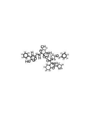 CCCC(NC(=O)[C@@H]1C[C@@H](OCc2ccccc2)CN1C(=O)C(NC(=O)C1CCCC1)C1CCCCC1)C(=O)C(=O)NCC(=O)NC(C(=O)O)c1ccccc1